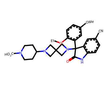 CCOc1ccc(OC)cc1C1(N2CC3(CN(C4CCN(C(=O)O)CC4)C3)C2)C(=O)Nc2ccc(C#N)cc21